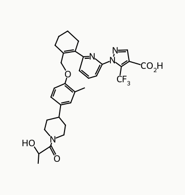 Cc1cc(C2CCN(C(=O)C(C)O)CC2)ccc1OCC1=C(c2cccc(-n3ncc(C(=O)O)c3C(F)(F)F)n2)CCCC1